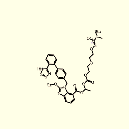 CCOc1nc2cccc(C(=O)OC(C)OC(=O)OCCOCCO/N=[N+](\[O-])N(C)C(C)(C)C)c2n1Cc1ccc(-c2ccccc2-c2nnn[nH]2)cc1